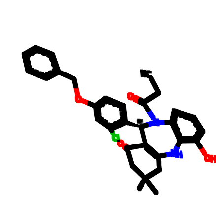 CC1(C)CC(=O)C2=C(C1)Nc1c(O)cccc1N(C(=O)CC#N)[C@H]2c1ccc(OCc2ccccc2)cc1Cl